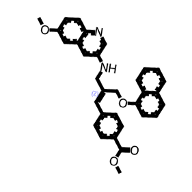 COC(=O)c1ccc(/C=C(/CNc2cnc3ccc(OC)cc3c2)COc2cccc3ccccc23)cc1